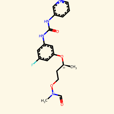 C[C@@H](CCON(C)C=O)Oc1cc(F)cc(NC(=O)Nc2cccnc2)c1